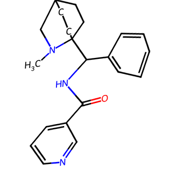 CN1CC2CCC1(C(NC(=O)c1cccnc1)c1ccccc1)CC2